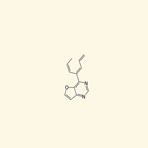 C=C/C=C(\C=C/C)c1ncnc2ccoc12